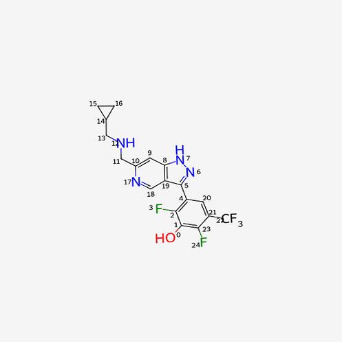 Oc1c(F)c(-c2n[nH]c3cc(CNCC4CC4)ncc23)cc(C(F)(F)F)c1F